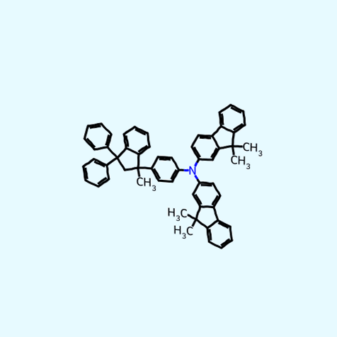 CC1(C)c2ccccc2-c2ccc(N(c3ccc(C4(C)CC(c5ccccc5)(c5ccccc5)c5ccccc54)cc3)c3ccc4c(c3)C(C)(C)c3ccccc3-4)cc21